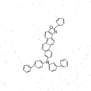 c1ccc(-c2ccc(N(c3cccc(-c4ccccc4)c3)c3ccc4c(ccc5c4ccc4c5ccc5oc(-c6ccccc6)nc54)c3)cc2)cc1